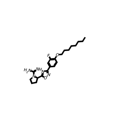 CCCCCCCCOc1ccc(-c2noc(C3CCCN3C(=N)N)n2)cc1F